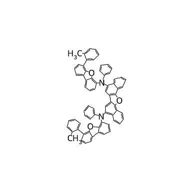 Cc1ccccc1-c1cccc2c1oc1c(N(c3ccccc3)c3cc4c5cc(N(c6ccccc6)c6cccc7c6oc6c(-c8ccccc8C)cccc67)c6ccccc6c5oc4c4ccccc34)cccc12